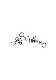 CS(=O)(=O)N1C[C@]2(CC[C@@H](C(=O)N[C@@H]3CCN(c4ccccc4)C3)CC2)c2ccccc21